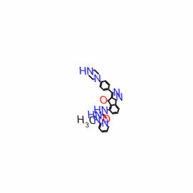 CN(NC(=O)Nc1cccc2c1C(=O)C1=C(c3ccc(N4CCNCC4)cc3)N=NC12)c1ccccn1